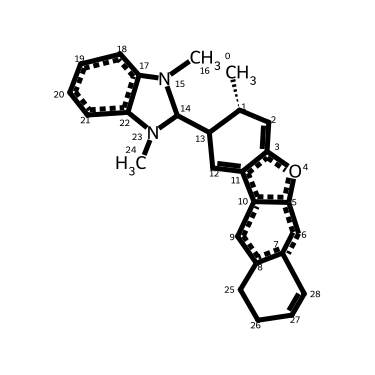 C[C@@H]1C=c2oc3cc4c(cc3c2=CC1C1N(C)c2ccccc2N1C)CCC=C4